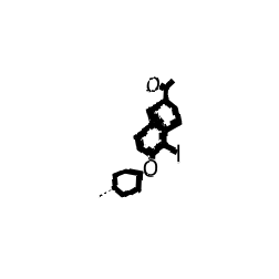 CC(=O)c1ccc2c(I)c(O[C@H]3CC[C@@H](C)CC3)ccc2c1